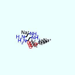 CC(=O)[O-].CC(=O)[O-].CC(=O)[O-].CC(=O)[O-].NCCN.NCCN.[Na+].[Na+].[Na+].[Na+]